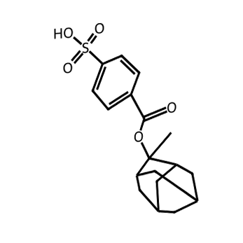 CC1(OC(=O)c2ccc(S(=O)(=O)O)cc2)C2CC3CC(C2)CC1C3